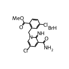 Br.COC(=O)c1ccc(Cl)cc1Cn1cc(Cl)cc(C(N)=O)c1=N